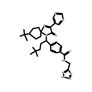 CC(C)(C)CCC(c1ccc(C(=O)NCc2nn[nH]n2)cc1)N1C(=O)C(c2cncnc2)=NC12CCC(C(C)(C)C)CC2